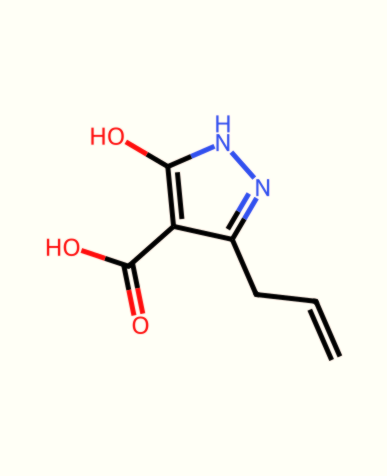 C=CCc1n[nH]c(O)c1C(=O)O